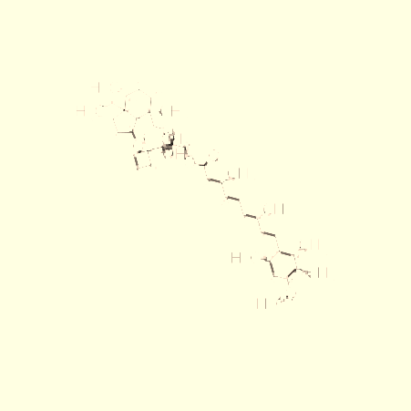 CCC12CCC(=O)C1[C@](C)([C@@H](C[C@]1([C@H](C)O)C=CC1)OC(=O)COC(=O)/C=C(C)/C=C/C=C(C)/C=C/c1c(C)cc(OC)c(C)c1C)CC[C@H]2C